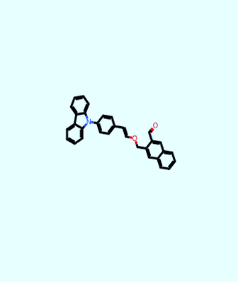 O=Cc1cc2ccccc2cc1COC=Cc1ccc(-n2c3ccccc3c3ccccc32)cc1